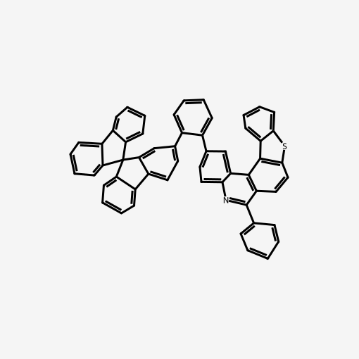 c1ccc(-c2nc3ccc(-c4ccccc4-c4ccc5c(c4)C4(c6ccccc6-c6ccccc64)c4ccccc4-5)cc3c3c2ccc2sc4ccccc4c23)cc1